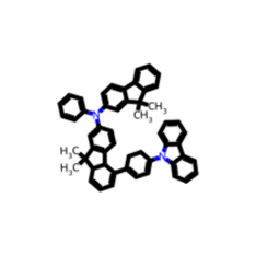 CC1(C)c2ccccc2-c2ccc(N(c3ccccc3)c3ccc4c(c3)C(C)(C)C3C=CC=C(C5=CC=C(n6c7ccccc7c7ccccc76)CC5)C43)cc21